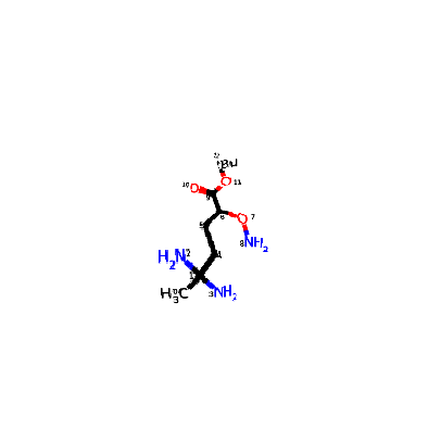 CC(N)(N)CCC(ON)C(=O)OC(C)(C)C